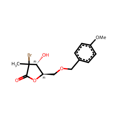 COc1ccc(COC[C@H]2OC(=O)C(C)(Br)[C@@H]2O)cc1